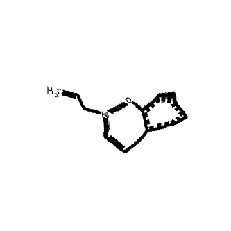 C=CCN1C=Cc2ccccc2O1